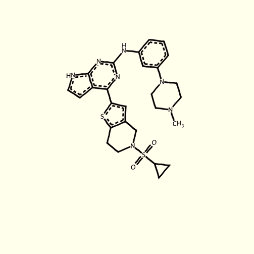 CN1CCN(c2cccc(Nc3nc(-c4cc5c(s4)CCN(S(=O)(=O)C4CC4)C5)c4cc[nH]c4n3)c2)CC1